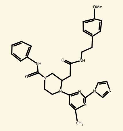 COc1ccc(CCNC(=O)CC2CN(C(=O)Nc3ccccc3)CCN2c2cc(C)nc(-n3ccnc3)n2)cc1